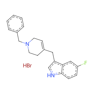 Br.Fc1ccc2[nH]cc(CC3=CCN(Cc4ccccc4)CC3)c2c1